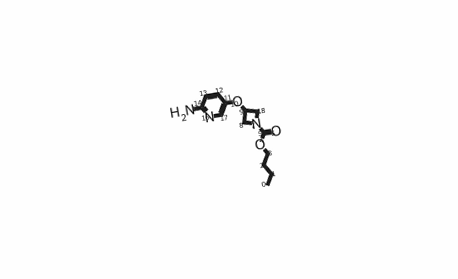 CCCCOC(=O)N1CC(Oc2ccc(N)nc2)C1